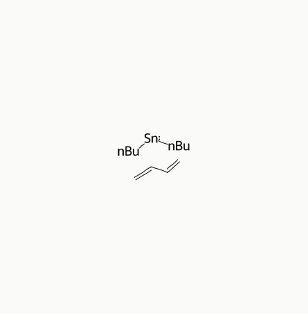 C=CC=C.CCC[CH2][Sn][CH2]CCC